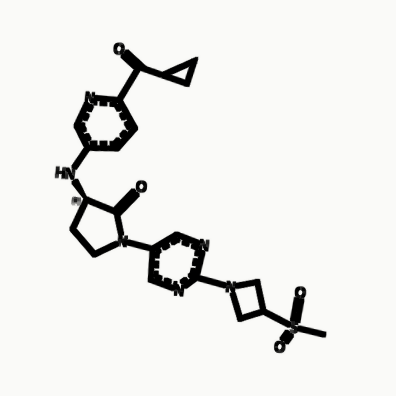 CS(=O)(=O)C1CN(c2ncc(N3CC[C@@H](Nc4ccc(C(=O)C5CC5)nc4)C3=O)cn2)C1